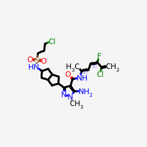 C=C(Cl)/C(F)=C\C=C(/C)NC(=O)c1c(C2CC3CC(NS(=O)(=O)CCCCl)CC3C2)nn(C)c1N